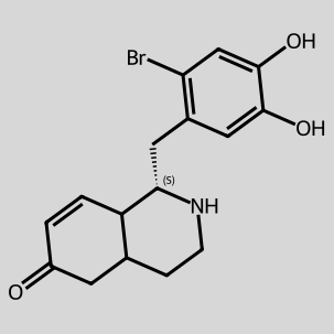 O=C1C=CC2C(CCN[C@H]2Cc2cc(O)c(O)cc2Br)C1